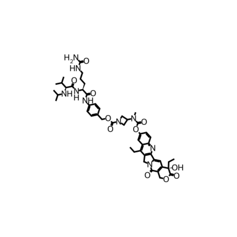 CCc1c2c(nc3ccc(OC(=O)N(C)C4CN(C(=O)OCc5ccc(NC(=O)[C@H](CCCNC(N)=O)NC(=O)[C@@H](NC(C)C)C(C)C)cc5)C4)cc13)-c1cc3c(c(=O)n1C2)COC(=O)[C@]3(O)CC